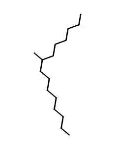 CCCCCC[CH]CC(C)CCCCCC